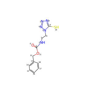 O=C(NCCn1nnnc1S)OCc1ccccc1